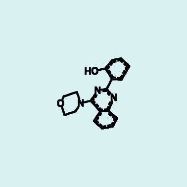 Oc1ccccc1-c1nc(N2CCOCC2)c2ccccc2n1